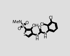 CNS(=O)(=O)c1scc(NC(=O)Nc2cccc(Cl)c2Cl)c1O